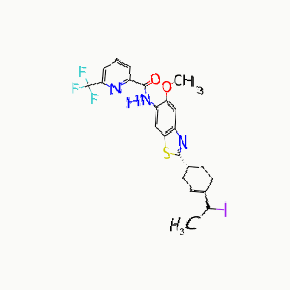 COc1cc2nc([C@H]3CC[C@H](C(C)I)CC3)sc2cc1NC(=O)c1cccc(C(F)(F)F)n1